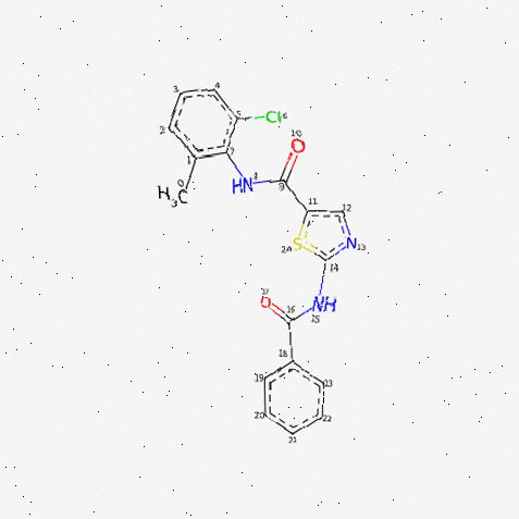 Cc1cccc(Cl)c1NC(=O)c1cnc(NC(=O)c2ccccc2)s1